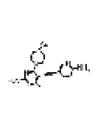 CC(=O)N1CCN(c2nc(N)nc(C)c2C#Cc2ccc(N)nc2)CC1